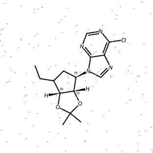 CCC1C[C@@H](n2cnc3c(Cl)ncnc32)[C@@H]2OC(C)(C)O[C@H]12